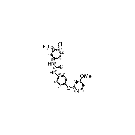 COc1ccnc(Oc2ccc(NC(=O)Nc3ccc(Cl)c(C(F)(F)F)c3)cc2)n1